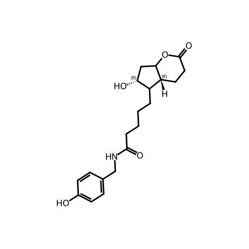 O=C(CCCCC1[C@H]2CCC(=O)OC2C[C@H]1O)NCc1ccc(O)cc1